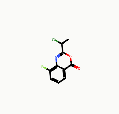 CC(Cl)c1nc2c(F)cccc2c(=O)o1